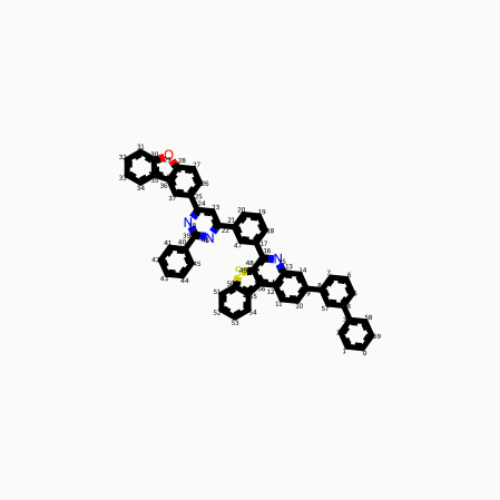 c1ccc(-c2cccc(-c3ccc4c(c3)nc(-c3cccc(-c5cc(-c6ccc7oc8ccccc8c7c6)nc(-c6ccccc6)n5)c3)c3sc5ccccc5c34)c2)cc1